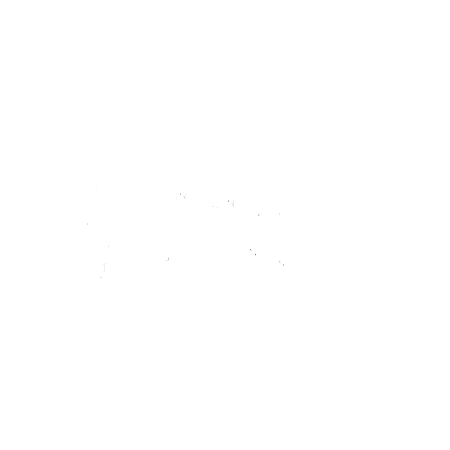 CC(C)(C)c1cc(NC(=O)Nc2cccc(Cl)c2Cl)[nH]n1